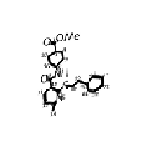 COC(=O)[C@H]1CC[C@@H](NC(=O)c2ccc(C)nc2SCCc2ccccc2)CC1